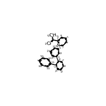 CC(=O)c1ccccn1.c1ccc(-c2ccccc2-c2ccccc2)cc1